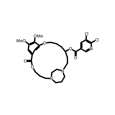 COc1cc2cc(c1OC)OCCCC(OC(=O)c1cnc(Cl)c(Cl)c1)CCN1CCCN(CCCOC2=O)CC1